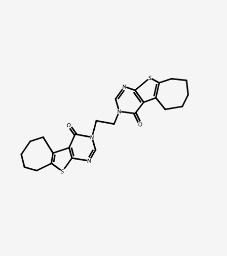 O=c1c2c3c(sc2ncn1CCn1cnc2sc4c(c2c1=O)CCCCC4)CCCCC3